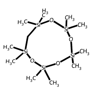 C[Si]1(C)C[Si](C)(C)O[Si](C)(C)O[Si](C)(C)O[Si](C)(C)O1